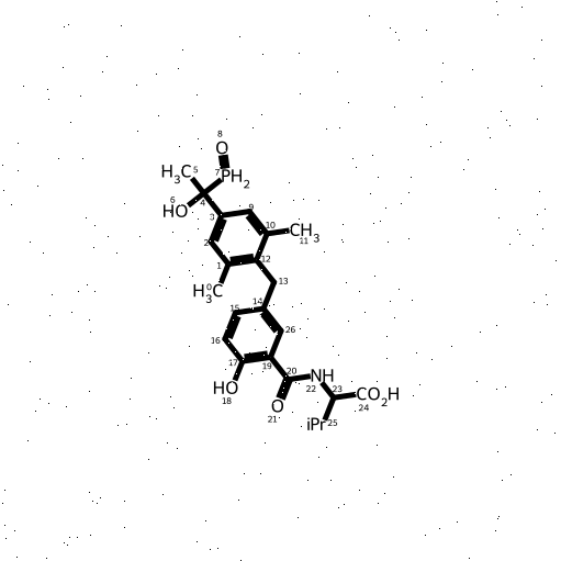 Cc1cc(C(C)(O)[PH2]=O)cc(C)c1Cc1ccc(O)c(C(=O)NC(C(=O)O)C(C)C)c1